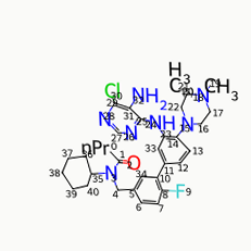 CCCC(=O)N(Cc1ccc(F)c(-c2ccc(N3CCN(C)[C@@H](C)C3)c(Nc3ncnc(Cl)c3N)c2)c1)C1CCCCC1